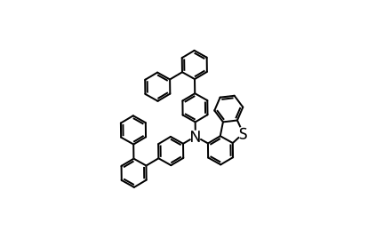 c1ccc(-c2ccccc2-c2ccc(N(c3ccc(-c4ccccc4-c4ccccc4)cc3)c3cccc4sc5ccccc5c34)cc2)cc1